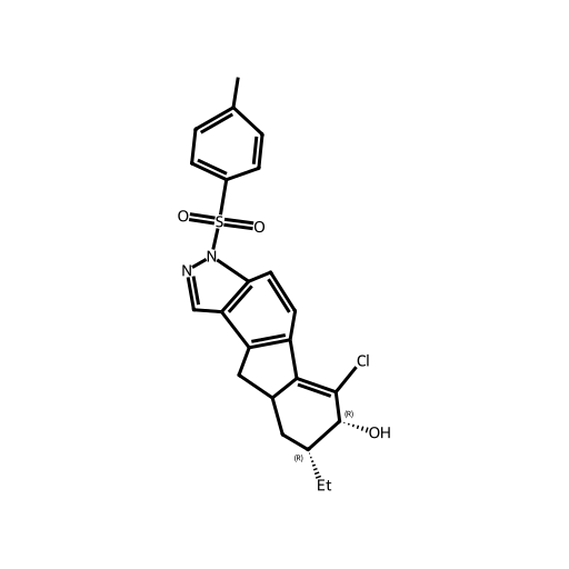 CC[C@@H]1CC2Cc3c(ccc4c3cnn4S(=O)(=O)c3ccc(C)cc3)C2=C(Cl)[C@@H]1O